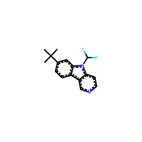 CC(C)(C)c1ccc2c3cnccc3n(C(F)F)c2c1